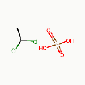 CC(Cl)Cl.O=S(=O)(O)O